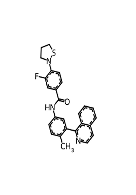 Cc1ccc(NC(=O)c2ccc(N3CCCS3)c(F)c2)cc1-c1nccc2ccccc12